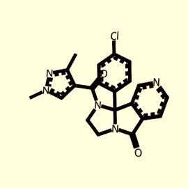 Cc1nn(C)cc1C(=O)N1CCN2C(=O)c3ccncc3C21c1ccc(Cl)cc1